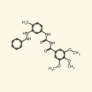 COc1cc(C(=O)NC(=S)Nc2ccc(C)c(NNc3ccccc3)c2)cc(OC)c1OC